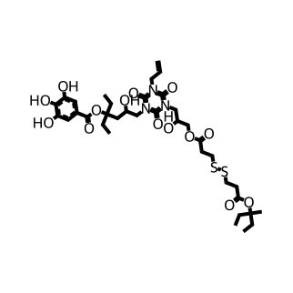 C=CCn1c(=O)n(CC(O)COC(=O)CCSSCCC(=O)OC(C)(CC)CC)c(=O)n(CC(O)CC(CC)(CC)OC(=O)c2cc(O)c(O)c(O)c2)c1=O